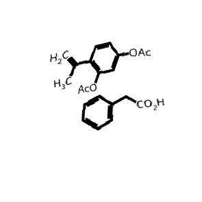 C=C(C)c1ccc(OC(C)=O)cc1OC(C)=O.O=C(O)Cc1ccccc1